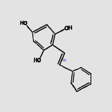 Oc1cc(O)c(/C=C/c2ccccc2)c(O)c1